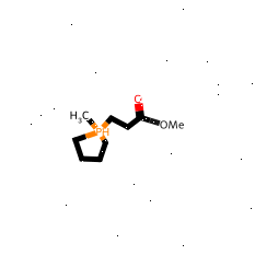 COC(=O)CC[PH]1(C)CCCC1